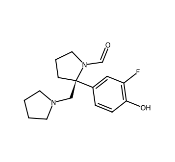 O=CN1CCC[C@@]1(CN1CCCC1)c1ccc(O)c(F)c1